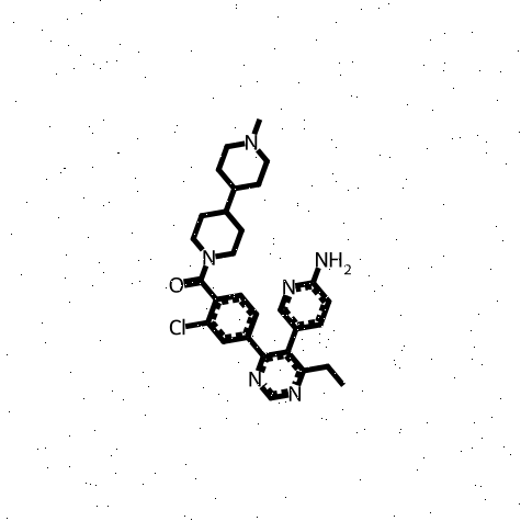 CCc1ncnc(-c2ccc(C(=O)N3CCC(C4CCN(C)CC4)CC3)c(Cl)c2)c1-c1ccc(N)nc1